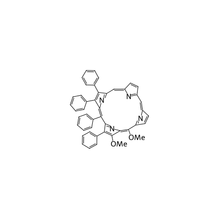 COC1=C2N=C(C(c3ccccc3)=C3N=C(C=C4C=CC(=N4)C=C4C=CC1=N4)C(c1ccccc1)=C3c1ccccc1)C(c1ccccc1)=C2OC